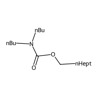 CCCCCCCCOC(=O)N(CCCC)CCCC